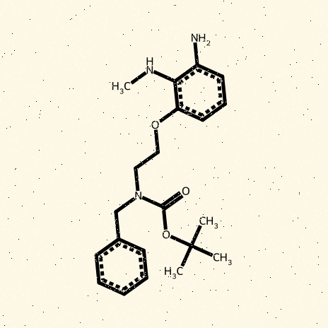 CNc1c(N)cccc1OCCN(Cc1ccccc1)C(=O)OC(C)(C)C